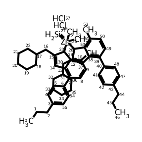 CCCc1ccc(-c2ccc(C)c3c2C=C(CC2CCCCC2)[CH]3[Zr]([CH3])([CH3])(=[SiH2])[CH]2C(CC3CCCCC3)=Cc3c(-c4ccc(CCC)cc4)ccc(C)c32)cc1.Cl.Cl